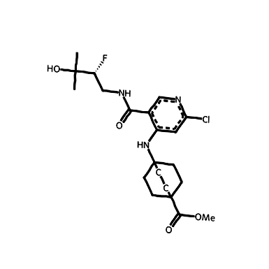 COC(=O)C12CCC(Nc3cc(Cl)ncc3C(=O)NC[C@@H](F)C(C)(C)O)(CC1)CC2